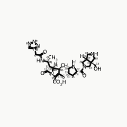 C[C@@H](NC(=O)Cn1cnnn1)[C@H]1C(=O)N2C(C(=O)O)=C(S[C@@H]3CN[C@H](C(=O)N4C[C@@H]5CNC[C@]5(CO)C4)C3)[C@H](C)[C@H]12